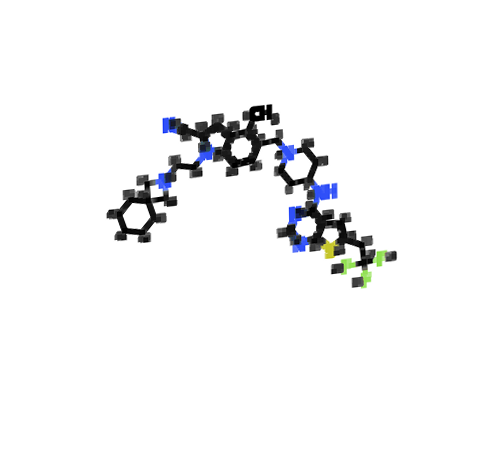 Cc1c(CN2CCC(Nc3ncnc4sc(CC(F)(F)F)cc34)CC2)ccc2c1cc(C#N)n2CCN1CC2(CCCCC2)C1